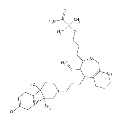 C=CC1C(CCCOC(C)(C)C(N)=O)OCC2=C(CCCN2)C1CCCN1CCC(O)(C2CC=C(Cl)CC2)C(C)(C)C1